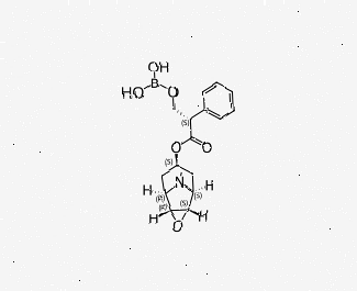 CN1[C@@H]2C[C@@H](OC(=O)[C@H](COB(O)O)c3ccccc3)C[C@H]1[C@@H]1O[C@@H]12